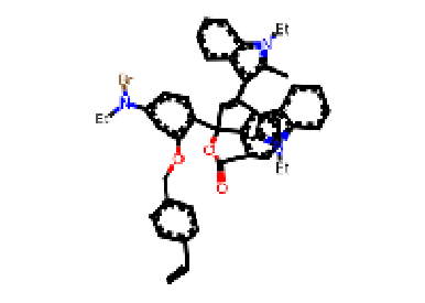 C=Cc1ccc(COc2cc(N(Br)CC)ccc2C2(C=C(c3c(C)n(CC)c4ccccc34)c3c(C)n(CC)c4ccccc34)OC(=O)c3ccccc32)cc1